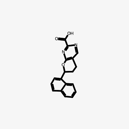 O=C(O)c1ncc2c(n1)OC(c1cccc3ccccc13)CC2